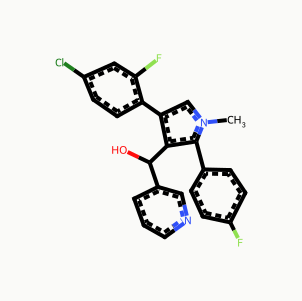 Cn1cc(-c2ccc(Cl)cc2F)c(C(O)c2cccnc2)c1-c1ccc(F)cc1